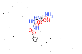 CC(NC(=O)CNC(=O)OCc1ccccc1)C(=O)N[C@@H](CC(N)=O)C(=O)O